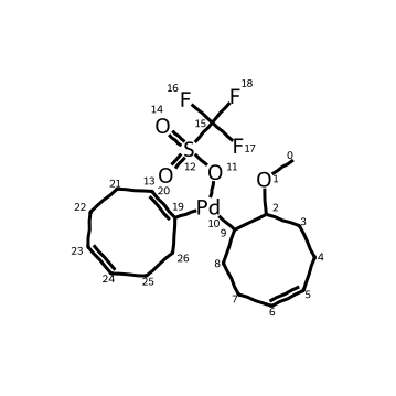 COC1CCC=CCC[CH]1[Pd]([O]S(=O)(=O)C(F)(F)F)[C]1=CCCC=CCC1